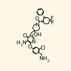 NCc1ccc(Oc2ncn(CC3(O)CCN(C(=O)[C@@H]4CCC(F)(F)C[C@H]4c4ccccc4)CC3)c(=O)c2N)cc1Cl